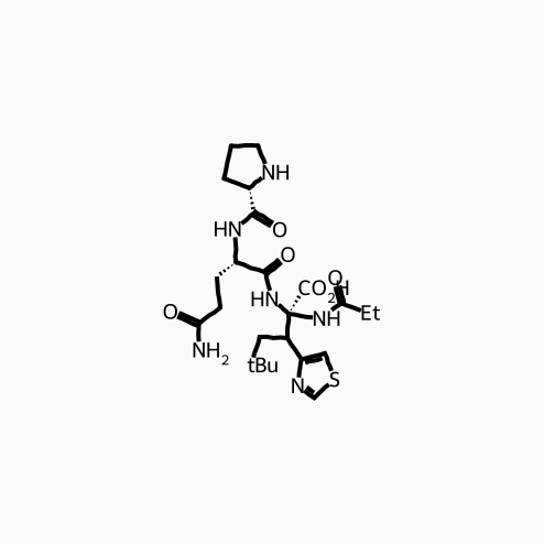 CCC(=O)N[C@@](NC(=O)[C@H](CCC(N)=O)NC(=O)[C@@H]1CCCN1)(C(=O)O)C(CC(C)(C)C)c1cscn1